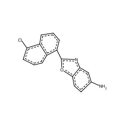 Nc1ccc2oc(-c3cccc4c(Cl)cccc34)nc2c1